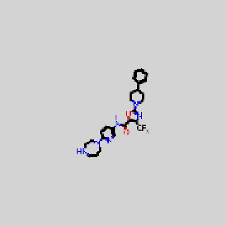 O=C(Nc1ccc(N2CCCNCC2)nc1)c1oc(N2CCC(c3ccccc3)CC2)nc1C(F)(F)F